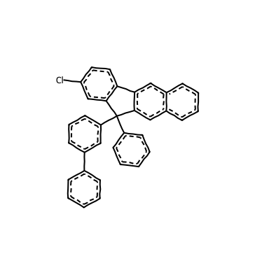 Clc1ccc2c(c1)C(c1ccccc1)(c1cccc(-c3ccccc3)c1)c1cc3ccccc3cc1-2